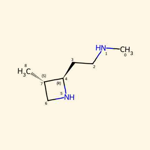 CNCC[C@H]1NC[C@@H]1C